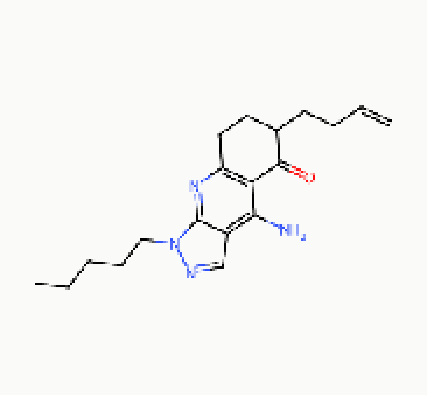 C=CCCC1CCc2nc3c(cnn3CCCCC)c(N)c2C1=O